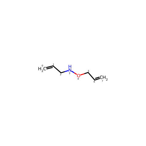 C=CCNOCC=C